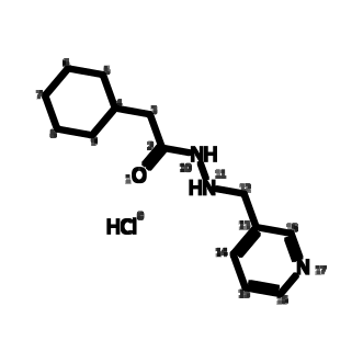 Cl.O=C(CC1CCCCC1)NNCc1cccnc1